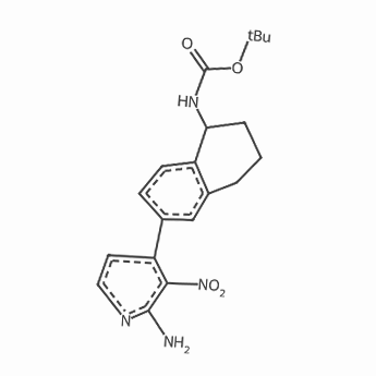 CC(C)(C)OC(=O)NC1CCCc2cc(-c3ccnc(N)c3[N+](=O)[O-])ccc21